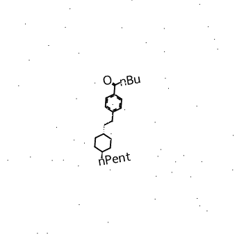 CCCCC[C@H]1CC[C@H](CCc2ccc(C(=O)CCCC)cc2)CC1